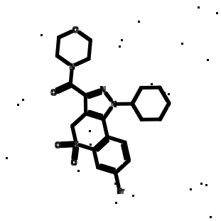 O=C(c1nn(C2CCCCC2)c2c1CS(=O)(=O)c1cc(Br)ccc1-2)N1CCOCC1